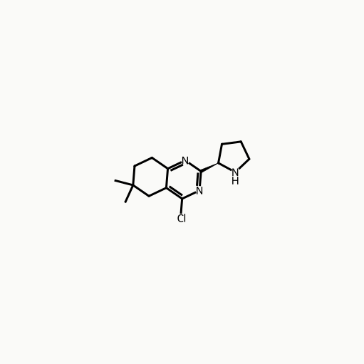 CC1(C)CCc2nc([C@H]3CCCN3)nc(Cl)c2C1